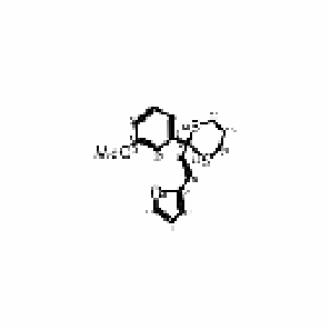 COc1cccc(C2(C=Cc3ccco3)SCCCS2)c1